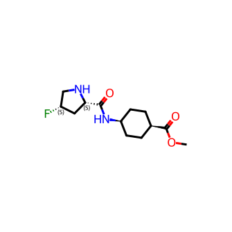 COC(=O)[C@H]1CC[C@@H](NC(=O)[C@@H]2C[C@H](F)CN2)CC1